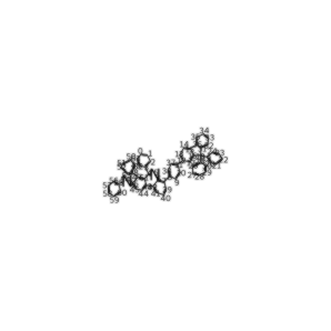 c1ccc(-c2nc3c(-c4ccc(-c5ccc6c(c5)C(c5ccccc5)(c5ccccc5)c5ccccc5-6)cc4)cccc3c3ccc4c(c5ccccc5n4-c4ccccc4)c23)cc1